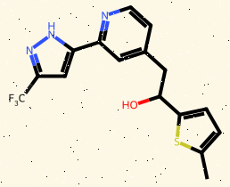 Cc1ccc(C(O)Cc2ccnc(-c3cc(C(F)(F)F)n[nH]3)c2)s1